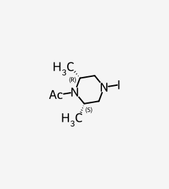 CC(=O)N1[C@H](C)CN(I)C[C@@H]1C